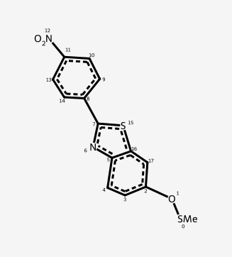 CSOc1ccc2nc(-c3ccc([N+](=O)[O-])cc3)sc2c1